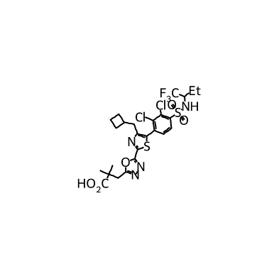 CCC(NS(=O)(=O)c1ccc(-c2sc(-c3nnc(CC(C)(C)C(=O)O)o3)nc2CC2CCC2)c(Cl)c1Cl)C(F)(F)F